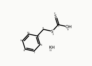 OC(=S)SCc1ccccc1.[KH]